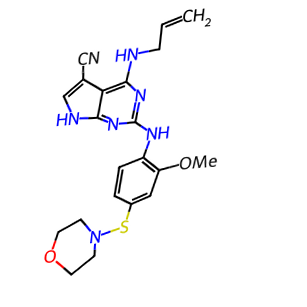 C=CCNc1nc(Nc2ccc(SN3CCOCC3)cc2OC)nc2[nH]cc(C#N)c12